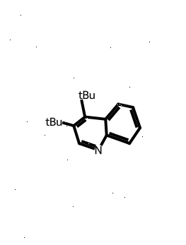 CC(C)(C)c1cnc2ccccc2c1C(C)(C)C